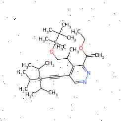 C=C(OCC)c1nncc(C#C[Si](C(C)C)(C(C)C)C(C)C)c1C(C)CO[Si](C)(C)C(C)(C)C